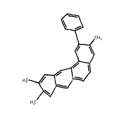 Cc1cc2cc3c4cc(-c5ccccc5)c(C)cc4cc[n+]3cc2cc1C